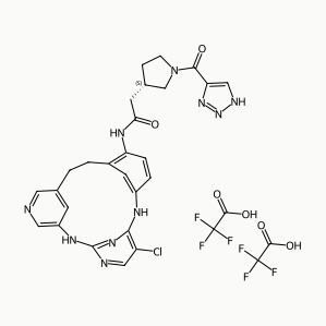 O=C(C[C@@H]1CCN(C(=O)c2c[nH]nn2)C1)Nc1ccc2cc1CCc1cncc(c1)Nc1ncc(Cl)c(n1)N2.O=C(O)C(F)(F)F.O=C(O)C(F)(F)F